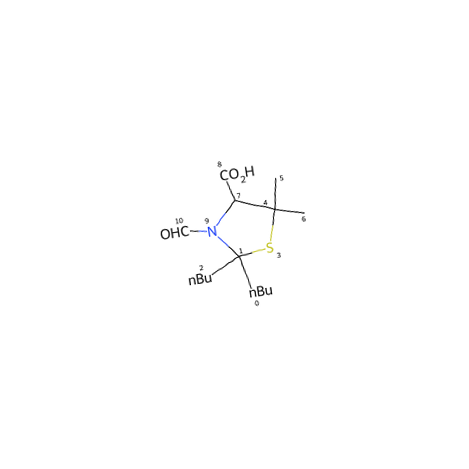 CCCCC1(CCCC)SC(C)(C)C(C(=O)O)N1C=O